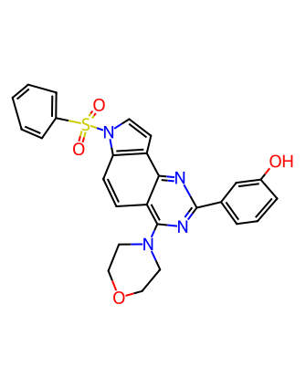 O=S(=O)(c1ccccc1)n1ccc2c3nc(-c4cccc(O)c4)nc(N4CCOCC4)c3ccc21